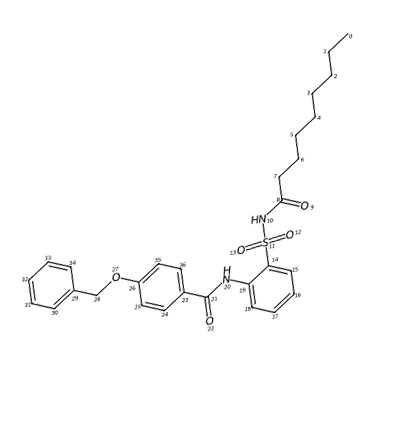 CCCCCCCCC(=O)NS(=O)(=O)c1ccccc1NC(=O)c1ccc(OCc2ccccc2)cc1